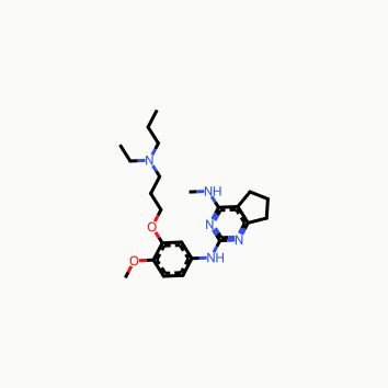 CCCN(CC)CCCOc1cc(Nc2nc3c(c(NC)n2)CCC3)ccc1OC